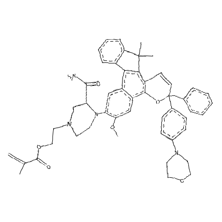 C=C(C)C(=O)OCCN1CCN(c2cc3c4c(c5c(c3cc2OC)OC(c2ccccc2)(c2ccc(N3CCOCC3)cc2)C=C5)C(C)(C)c2ccccc2-4)C(C(N)=O)C1